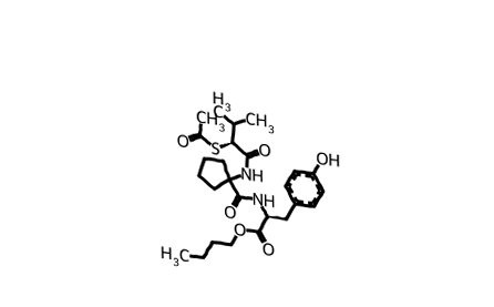 CCCCOC(=O)[C@H](Cc1ccc(O)cc1)NC(=O)C1(NC(=O)[C@@H](SC(C)=O)C(C)C)CCCC1